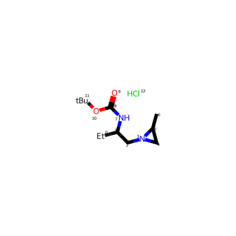 CCC(CN1CC1C)NC(=O)OC(C)(C)C.Cl